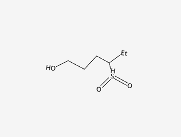 CCC(CCCO)[SH](=O)=O